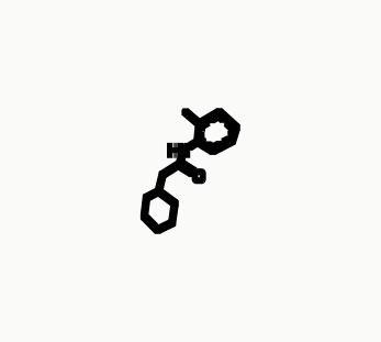 Cc1ccccc1NC(=O)CC1CCCCC1